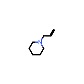 C=[C]CN1CCCCC1